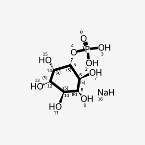 O=P(O)(O)O[C@@H]1[C@@H](O)[C@H](O)[C@@H](O)[C@H](O)[C@@H]1O.[NaH]